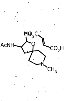 CC(=O)NC1CC2(CCN(C)CC2)OC1C.O=C(O)C=CC(=O)O